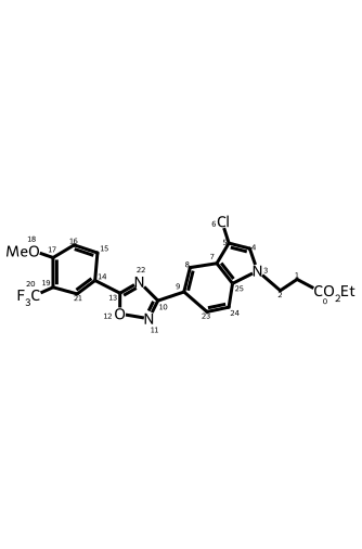 CCOC(=O)CCn1cc(Cl)c2cc(-c3noc(-c4ccc(OC)c(C(F)(F)F)c4)n3)ccc21